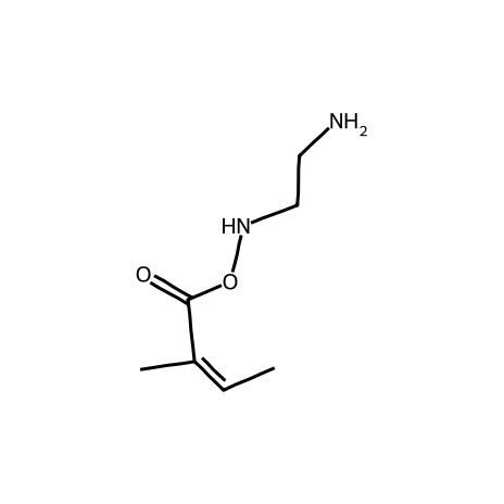 CC=C(C)C(=O)ONCCN